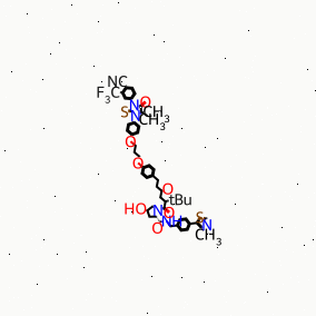 Cc1ncsc1-c1ccc(CNC(=O)[C@@H]2C[C@@H](O)CN2C(=O)C(CC(=O)CCc2ccc(OCCCOc3ccc(N4C(=S)N(c5ccc(C#N)c(C(F)(F)F)c5)C(=O)C4(C)C)cc3)cc2)C(C)(C)C)cc1